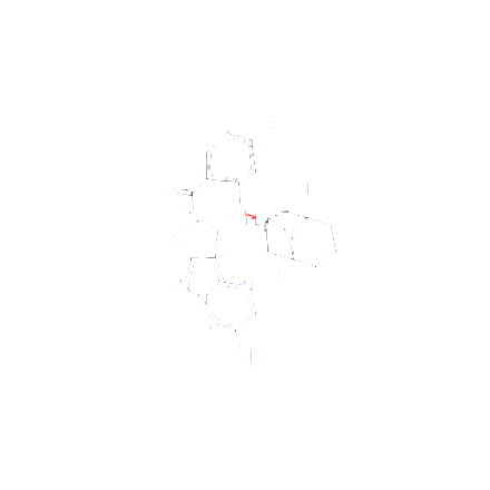 CN1[C@@H]2CCC[C@H]1C[C@@H](Oc1cc(F)ccc1C(=O)N1Cc3nn4cc(Cl)cnc4c3C1)C2